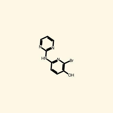 Oc1ccc(Nc2ncccn2)nc1Br